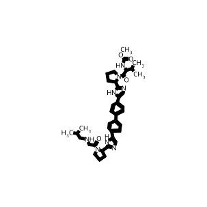 COC(=O)NC(C(=O)N1CCCC1c1ncc(-c2ccc(-c3ccc(-c4cnc(C5CCCN5C(=O)CNCC(C)C)[nH]4)cc3)cc2)[nH]1)C(C)C